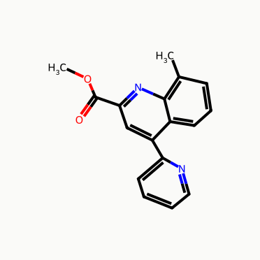 COC(=O)c1cc(-c2ccccn2)c2cccc(C)c2n1